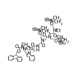 CCN(CCO[Si](C)(C)C(C)(C)C)C(=O)CN(CCO[Si](C)(C)C(C)(C)C)C(=O)CN(CCO[Si](C)(C)C(C)(C)C)C(=O)CNC(=O)CCn1c(CN(C)N(C)C(=O)OCC2c3ccccc3-c3ccccc32)cc2ccccc21